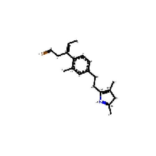 C/C=C(/CC=S)c1ccc(CCC2=C(C)CC(C)=N2)cc1C